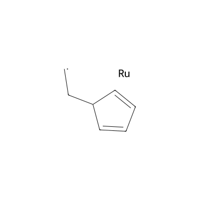 [CH2]CC1C=CC=C1.[Ru]